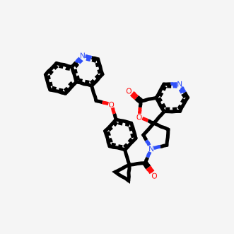 O=C1OC2(CCN(C(=O)C3(c4ccc(OCc5ccnc6ccccc56)cc4)CC3)C2)c2ccncc21